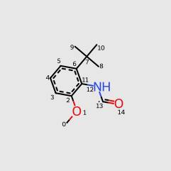 COc1cccc(C(C)(C)C)c1N[C]=O